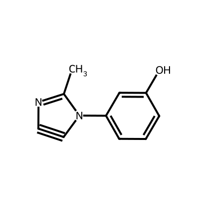 Cc1nc#cn1-c1cccc(O)c1